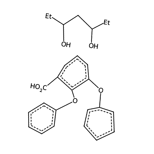 CCC(O)CC(O)CC.O=C(O)c1cccc(Oc2ccccc2)c1Oc1ccccc1